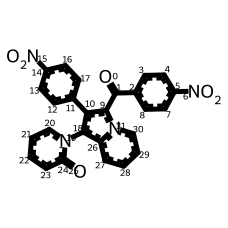 O=C(c1ccc([N+](=O)[O-])cc1)c1c(-c2ccc([N+](=O)[O-])cc2)c(-n2ccccc2=O)c2ccccn12